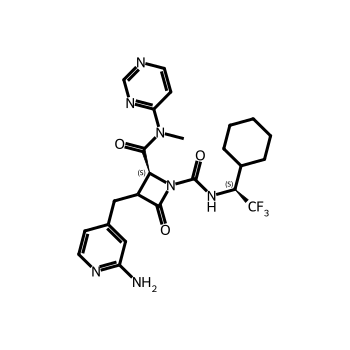 CN(C(=O)[C@@H]1C(Cc2ccnc(N)c2)C(=O)N1C(=O)N[C@@H](C1CCCCC1)C(F)(F)F)c1ccncn1